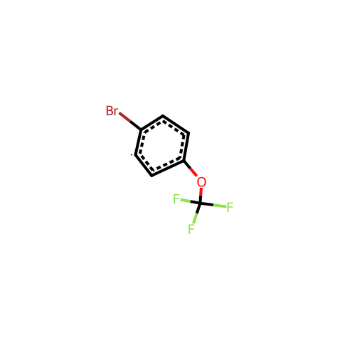 FC(F)(F)Oc1c[c]c(Br)cc1